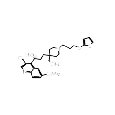 COc1ccc2ncc(Cl)c([C@@H](O)CCC3(CO)CCN(CCCSc4cccs4)CC3)c2c1